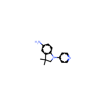 CC1(C)CN(c2ccncc2)c2ccc(N)cc21